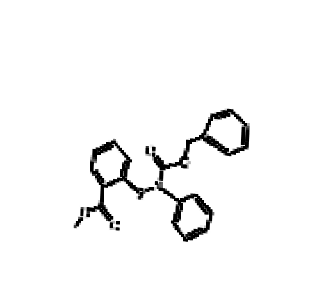 COC(=O)c1ccccc1SN(C(=O)OCc1ccccc1)c1ccccc1